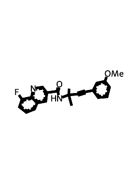 COc1cccc(C#CC(C)(C)NC(=O)c2cnc3c(F)cccc3c2)c1